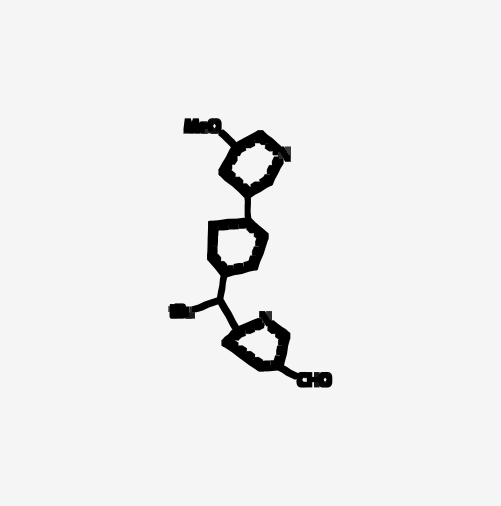 COc1cncc(-c2ccc(C(c3ccc(C=O)cn3)C(C)(C)C)cc2)c1